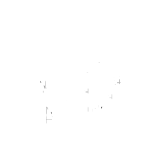 C1CN2CCC1NC2.CCC[Si]1(C)OC(C)(C)C[Si](C)(C)[Si]1(C)C